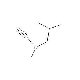 C#CN(C)CC(C)CC